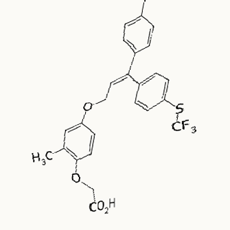 Cc1cc(OCC=C(c2ccc(I)cc2)c2ccc(SC(F)(F)F)cc2)ccc1OCC(=O)O